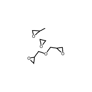 C(OCC1CO1)C1CO1.C1CO1.CC1CO1